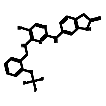 O=C1Cc2ccc(Nc3ncc(Br)c(NCc4ccccc4OC(F)(F)F)n3)cc2N1